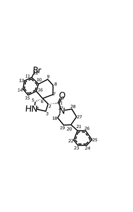 O=C([C@@H]1CNC[C@]12CCCc1c(Br)cccc12)N1CCC(c2ccccc2)CC1